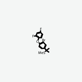 CSC(C)(C)c1ccc(Oc2ccc(F)cc2F)c(Br)c1